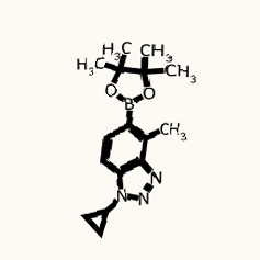 Cc1c(B2OC(C)(C)C(C)(C)O2)ccc2c1nnn2C1CC1